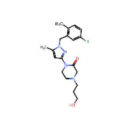 Cc1cc(N2CCN(CCCO)CC2=O)nn1Cc1cc(Cl)ccc1OCC(C)C